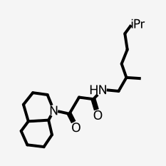 CC(C)CCCC(C)CNC(=O)CC(=O)N1CCCC2CCCCC21